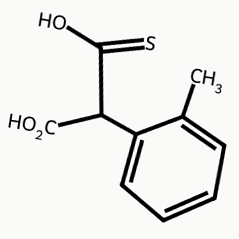 Cc1ccccc1C(C(=O)O)C(O)=S